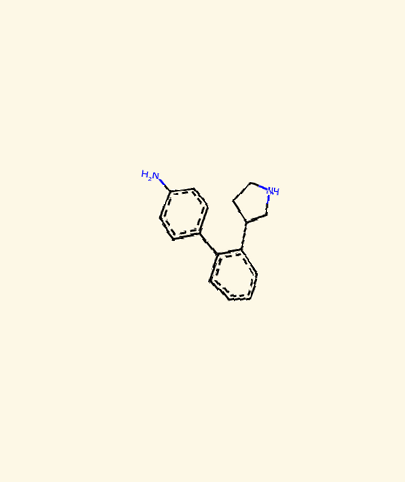 Nc1ccc(-c2ccccc2C2CCNC2)cc1